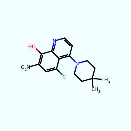 CC1(C)CCN(c2ccnc3c(O)c([N+](=O)[O-])cc(Cl)c23)CC1